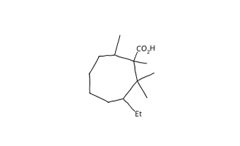 CCC1CCCCC(C)C(C)(C(=O)O)C1(C)C